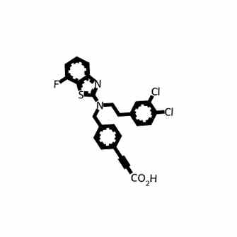 O=C(O)C#Cc1ccc(CN(CCc2ccc(Cl)c(Cl)c2)c2nc3cccc(F)c3s2)cc1